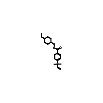 C=C[Si](C)(C)c1ccc(C(=O)OO[C]2CCC(CC)CC2)cc1